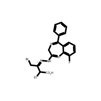 CCC(C(=O)O)/C(CBr)=N\NC1=Nc2c(F)cccc2C(c2ccccc2)=NC1